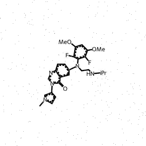 COc1cc(OC)c(F)c(N(CCNC(C)C)c2ccc3ncn(-c4ccn(C)c4)c(=O)c3c2)c1F